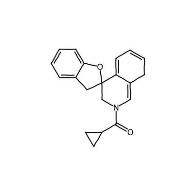 O=C(C1CC1)N1C=C2CC=CC=C2C2(Cc3ccccc3O2)C1